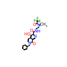 CN(CCNC(=O)c1ncc2c(=O)n(Cc3ccccc3)ccc2c1O)C(=O)C(F)(F)F